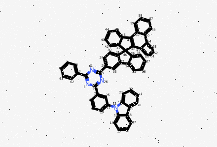 c1ccc(-c2nc(-c3cccc(-n4c5ccccc5c5ccccc54)c3)nc(-c3ccc4c(c3)-c3ccccc3C43c4ccccc4-c4c3c3ccccc3c3ccccc43)n2)cc1